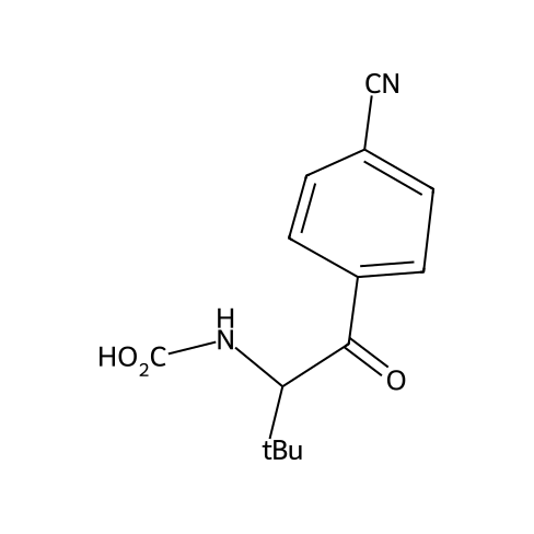 CC(C)(C)C(NC(=O)O)C(=O)c1ccc(C#N)cc1